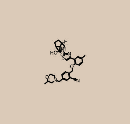 Cc1ccc(OCc2ccc(CN3CCOC(C)C3)cc2C#N)c(-c2csc(N3CC4CC[C@@H](C3)[C@H]4C(=O)O)n2)c1